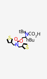 CCCCC(COC(=O)N(Cc1ccsc1)Cc1ccsc1)N(C(=O)O)C(C)(C)C